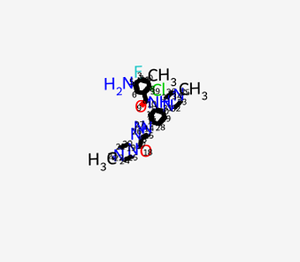 Cc1c(F)c(N)cc(C(=O)Nc2cc(-n3cc(C(=O)N4CCN(C)CC4)nn3)ccc2N2CCN(C)CC2)c1Cl